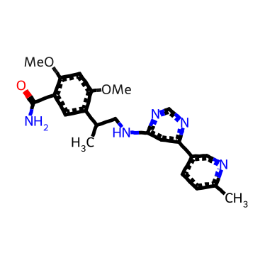 COc1cc(OC)c(C(C)CNc2cc(-c3ccc(C)nc3)ncn2)cc1C(N)=O